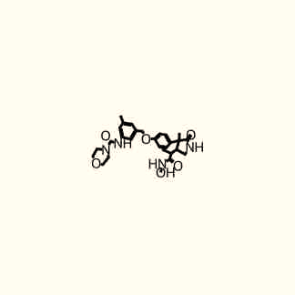 Cc1cc(COc2ccc(C3(C)C(=O)NCC3C(C)C(=O)NO)cc2)cc(NC(=O)N2CCOCC2)c1